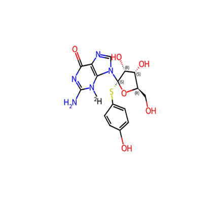 [2H]n1c(N)nc(=O)c2ncn([C@]3(Sc4ccc(O)cc4)O[C@H](CO)[C@@H](O)[C@H]3O)c21